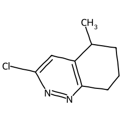 CC1CCCc2nnc(Cl)cc21